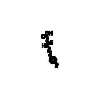 C=Cc1ccc(CSCCNC(=S)CCC(=O)O)cc1